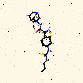 CCCNC(=S)Nc1ccc2c(C(=O)N[C@@H]3CN4CCC3CC4)nsc2c1